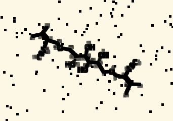 [C-]#[N+]C(COC[C@@H](O)[C@@H](O)[C@H](O)[C@H](O)COCC([N+]#[C-])=C(C)C)=C(C)C